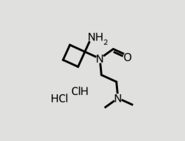 CN(C)CCN(C=O)C1(N)CCC1.Cl.Cl